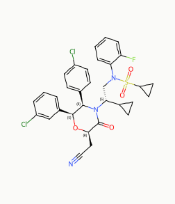 N#CC[C@H]1O[C@@H](c2cccc(Cl)c2)[C@@H](c2ccc(Cl)cc2)N([C@H](CN(c2ccccc2F)S(=O)(=O)C2CC2)C2CC2)C1=O